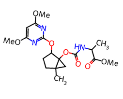 COC(=O)C(C)NC(=O)OC12CC1(C)CCC2Oc1nc(OC)cc(OC)n1